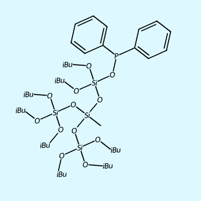 CCC(C)O[Si](OC(C)CC)(OC(C)CC)O[Si](C)(O[Si](OC(C)CC)(OC(C)CC)OC(C)CC)O[Si](OC(C)CC)(OC(C)CC)OP(c1ccccc1)c1ccccc1